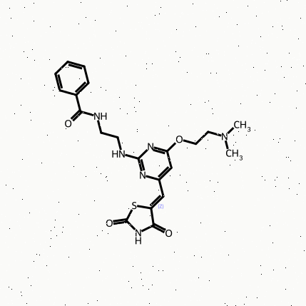 CN(C)CCOc1cc(/C=C2\SC(=O)NC2=O)nc(NCCNC(=O)c2ccccc2)n1